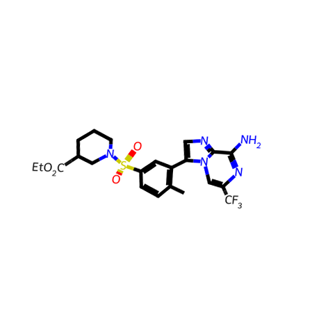 CCOC(=O)C1CCCN(S(=O)(=O)c2ccc(C)c(-c3cnc4c(N)nc(C(F)(F)F)cn34)c2)C1